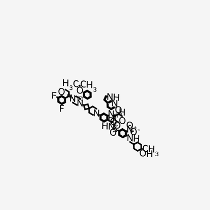 CC(C)Oc1ccccc1[C@H]1CN([C@H]2CCOc3c(F)cc(F)cc32)CCN1C1CC2(CCN(c3ccc(C(=O)NS(=O)(=O)c4ccc(NCC5CCC(C)(O)CC5)c([N+](=O)[O-])c4)c(N4c5cc6cc[nH]c6nc5O[C@H]5COCC[C@@H]54)c3)CC2)C1